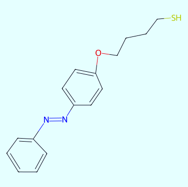 SCCCCOc1ccc(N=Nc2ccccc2)cc1